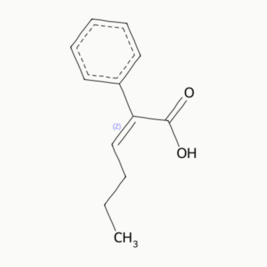 CCC/C=C(\C(=O)O)c1ccccc1